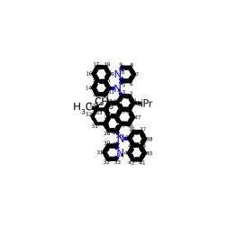 CC(C)c1cc(N(c2ccccn2)c2cccc3ccccc23)c2cc3c4c(cc(N(c5ccccn5)c5cccc6ccccc56)c5ccc1c2c54)CCC3(C)C